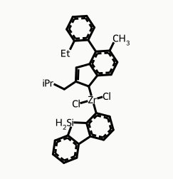 CCc1ccccc1-c1c(C)ccc2c1C=C(CC(C)C)[CH]2[Zr]([Cl])([Cl])[c]1cccc2c1[SiH2]c1ccccc1-2